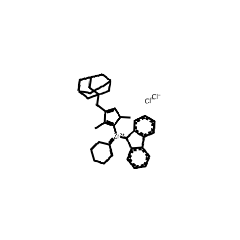 CC1=[C]([Zr+2](=[C]2CCCCC2)[CH]2c3ccccc3-c3ccccc32)C(C)C=C1CC12CC3CC(CC(C3)C1)C2.[Cl-].[Cl-]